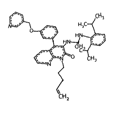 C=CCCCn1c(=O)c(NC(=O)Nc2c(C(C)C)cccc2C(C)C)c(-c2cccc(OCc3cccnc3)c2)c2cccnc21